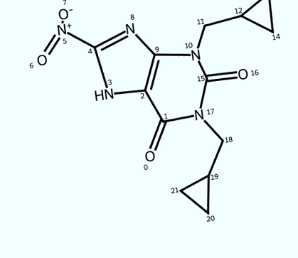 O=c1c2[nH]c([N+](=O)[O-])nc2n(CC2CC2)c(=O)n1CC1CC1